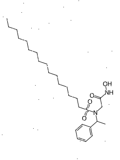 CCCCCCCCCCCCCCCCS(=O)(=O)N(CC(=O)NO)C(C)c1ccccc1